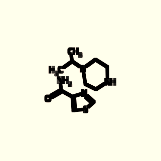 CC(C)N1CCNCC1.NC(=O)c1cscn1